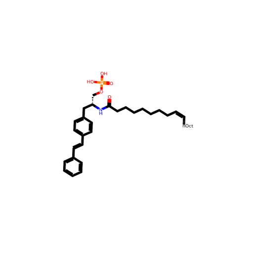 CCCCCCCC/C=C\CCCCCCCC(=O)N[C@@H](COP(=O)(O)O)Cc1ccc(/C=C/c2ccccc2)cc1